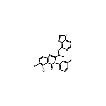 C[C@H](Nc1ncnc2[nH]cnc12)c1nc2ccc(F)c(Cl)c2c(=O)n1-c1cccc(F)c1